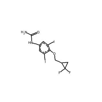 NC(=O)Nc1cc(I)c(OCC2CC2(F)F)c(I)c1